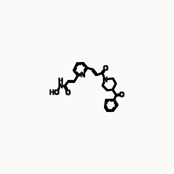 O=C(/C=C/c1cccc(/C=C/C(=O)N2CCC(C(=O)c3ccccc3)CC2)n1)NO